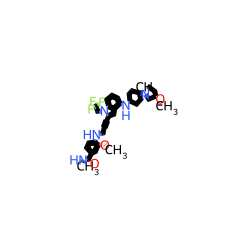 CNC(=O)c1ccc(NCC#Cc2cc3c(NC4CCC(C)(N5CCC(OC)C5)CC4)cccc3n2CC(F)(F)F)c(OC)c1